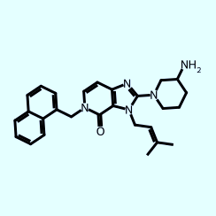 CC(C)=CCn1c(N2CCCC(N)C2)nc2ccn(Cc3cccc4ccccc34)c(=O)c21